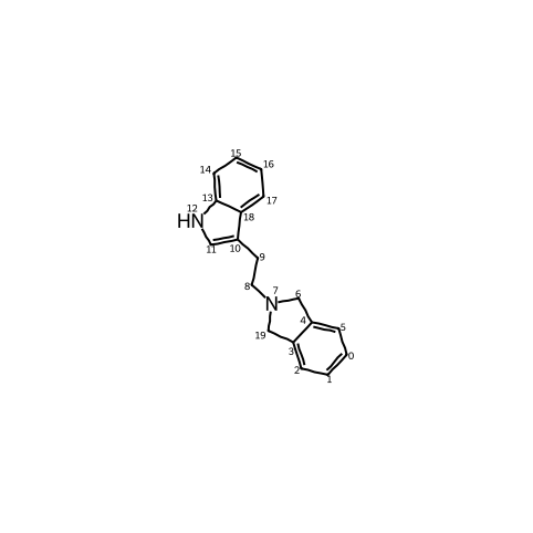 c1ccc2c(c1)CN(CCc1c[nH]c3ccccc13)C2